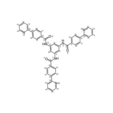 O=C(Nc1cc(NC(=O)c2ccc(-c3ccccn3)cc2)cc(NC(=O)c2ccc(-c3ccccn3)cc2)c1)c1ccc(-c2ccccn2)cc1